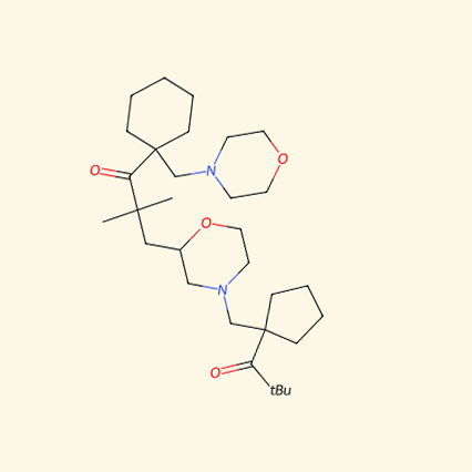 CC(C)(C)C(=O)C1(CN2CCOC(CC(C)(C)C(=O)C3(CN4CCOCC4)CCCCC3)C2)CCCC1